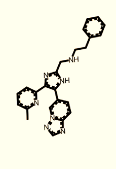 Cc1cccc(-c2nc(CNCCc3ccccc3)[nH]c2-c2ccc3ncnn3c2)n1